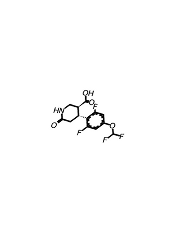 O=C1C[C@@H](c2c(F)cc(OC(F)F)cc2F)[C@H](C(=O)O)CN1